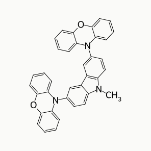 Cn1c2ccc(N3c4ccccc4Oc4ccccc43)cc2c2cc(N3c4ccccc4Oc4ccccc43)ccc21